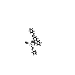 O=C(O)C(CCCc1ccccc1)CC(O)c1ccccc1-c1ccc(OCc2ccccc2)cc1